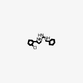 N=C(NCc1ccccc1)N1CCC(c2ccccc2Cl)=N1